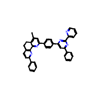 Cc1cc(-c2c#cc(-c3cc(-c4ccccc4)nc(-c4ccccn4)n3)cc2)nc2c1CCc1ccc(-c3ccccc3)nc1-2